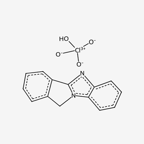 [O-][Cl+3]([O-])([O-])O.c1ccc2c(c1)Cn1c-2nc2ccccc21